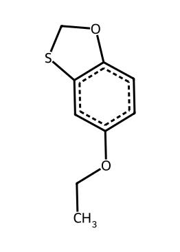 CCOc1ccc2c(c1)SCO2